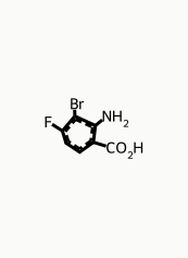 Nc1c(C(=O)O)ccc(F)c1Br